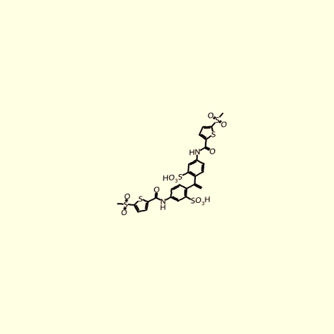 C=C(c1ccc(NC(=O)c2ccc(S(C)(=O)=O)s2)cc1S(=O)(=O)O)c1ccc(NC(=O)c2ccc(S(C)(=O)=O)s2)cc1S(=O)(=O)O